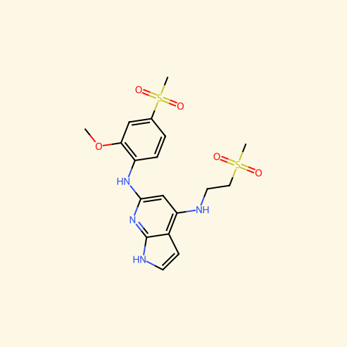 COc1cc(S(C)(=O)=O)ccc1Nc1cc(NCCS(C)(=O)=O)c2cc[nH]c2n1